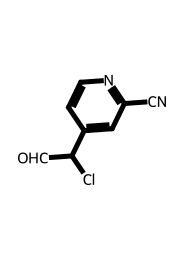 N#Cc1cc(C(Cl)C=O)ccn1